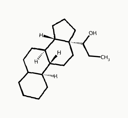 CCC(O)[C@@]12CCC[C@H]1[C@@H]1CCC3CCCC[C@@H]3[C@H]1CC2